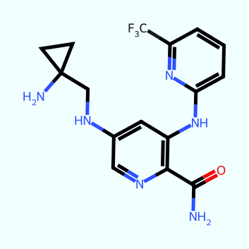 NC(=O)c1ncc(NCC2(N)CC2)cc1Nc1cccc(C(F)(F)F)n1